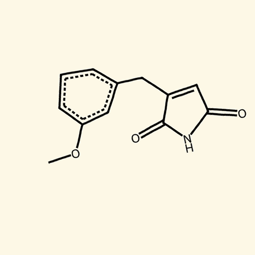 COc1cccc(CC2=CC(=O)NC2=O)c1